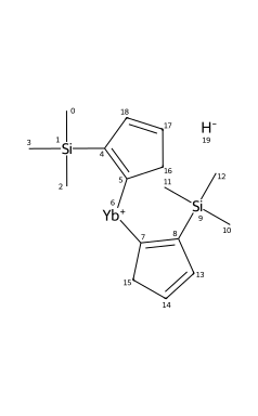 C[Si](C)(C)C1=[C]([Yb+][C]2=C([Si](C)(C)C)C=CC2)CC=C1.[H-]